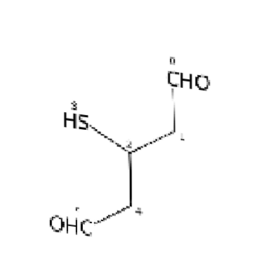 O=CCC(S)CC=O